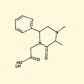 CC1C(=O)N(CC(=O)O)C(c2ccccc2)CN1C.[LiH]